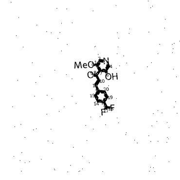 COc1cncc(O)c1C(=O)/C=C/c1ccc(C(F)F)cc1